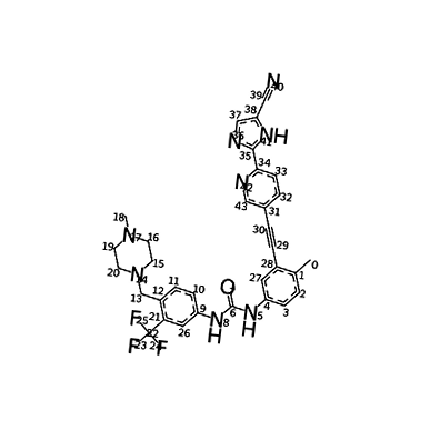 Cc1ccc(NC(=O)Nc2ccc(CN3CCN(C)CC3)c(C(F)(F)F)c2)cc1C#Cc1ccc(-c2ncc(C#N)[nH]2)nc1